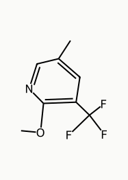 COc1ncc(C)cc1C(F)(F)F